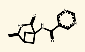 C=C1NC(=O)C2(NC(=O)c3cncnc3)CC1C2